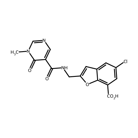 Cn1cncc(C(=O)NCc2cc3cc(Cl)cc(C(=O)O)c3o2)c1=O